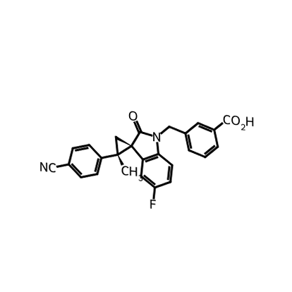 C[C@@]1(c2ccc(C#N)cc2)C[C@]12C(=O)N(Cc1cccc(C(=O)O)c1)c1ccc(F)cc12